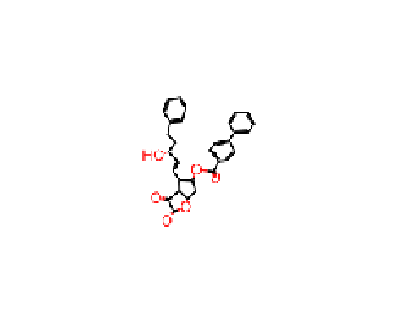 O=C1OC2CC(OC(=O)c3ccc(-c4ccccc4)cc3)C(C=C[C@@H](O)CCc3ccccc3)C2C1=O